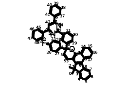 CC1(C)c2ccccc2-c2c1c1c(c3ccccc23)OC(c2ccc(F)cc2)(c2cccc(-c3nc(-c4ccccc4)cc(-c4ccccc4)n3)c2)C=C1